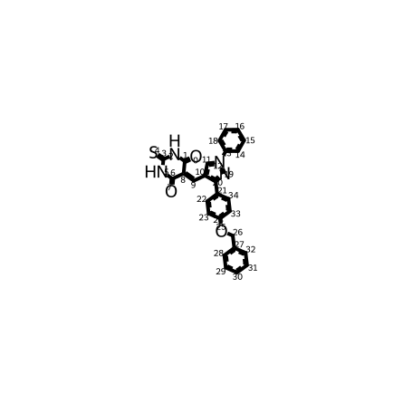 O=C1NC(=S)NC(=O)C1=Cc1cn(-c2ccccc2)nc1-c1ccc(OCc2ccccc2)cc1